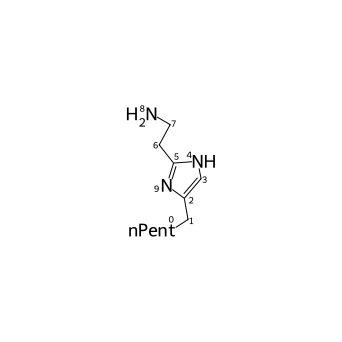 CCCCCCc1c[nH]c(CCN)n1